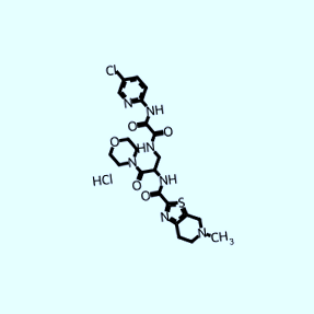 CN1CCc2nc(C(=O)NC(CNC(=O)C(=O)Nc3ccc(Cl)cn3)C(=O)N3CCOCC3)sc2C1.Cl